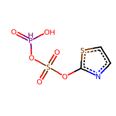 O=[PH](O)OS(=O)(=O)Oc1nccs1